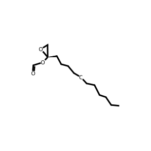 CCCCCCCCCCC[C@]1(OC=O)CO1